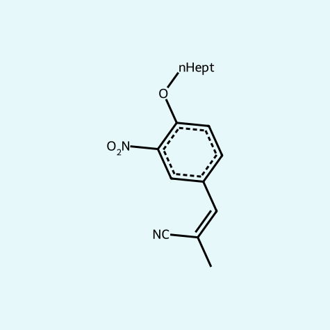 CCCCCCCOc1ccc(/C=C(/C)C#N)cc1[N+](=O)[O-]